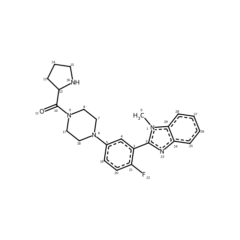 Cn1c(-c2cc(N3CCN(C(=O)C4CCCN4)CC3)ccc2F)nc2ccccc21